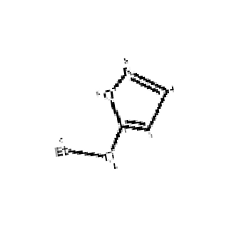 CCOc1c[c]no1